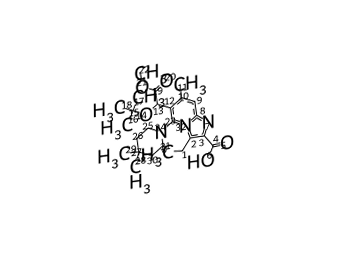 CCc1c(C(=O)O)nc2cc(C)c(C(OC(C)(C)C)C(=O)OC)c(N3CCC(C)(C)CC3)n12